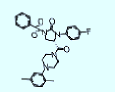 Cc1ccc(C)c(N2CCN(C(=O)[C@@H]3CN(S(=O)(=O)c4ccccc4)C(=O)N3c3ccc(F)cc3)CC2)c1